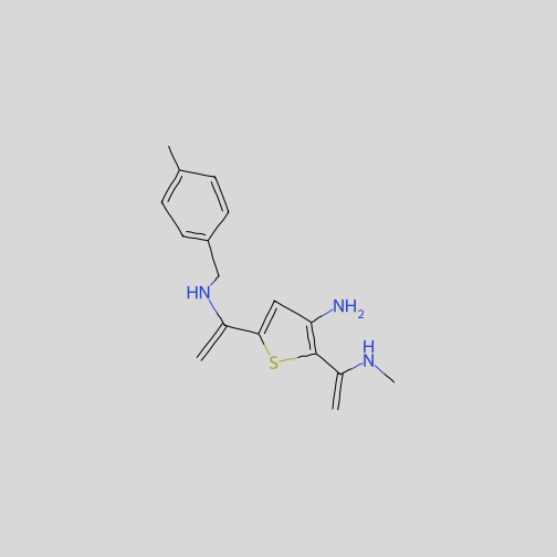 C=C(NCc1ccc(C)cc1)c1cc(N)c(C(=C)NC)s1